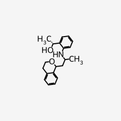 CC(CC1OCCc2ccccc21)Nc1ccccc1[C@@H](C)O